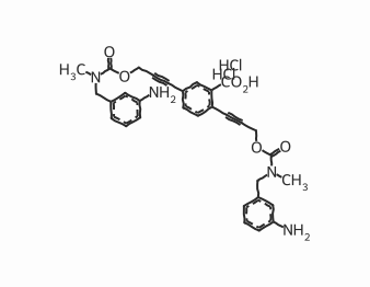 CN(Cc1cccc(N)c1)C(=O)OCC#Cc1ccc(C#CCOC(=O)N(C)Cc2cccc(N)c2)c(C(=O)O)c1.Cl.Cl